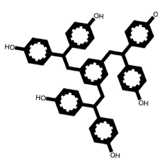 Oc1ccc(C(Cc2cc(CC(c3ccc(O)cc3)c3ccc(O)cc3)cc(CC(c3ccc(O)cc3)c3ccc(O)cc3)c2)c2ccc(O)cc2)cc1